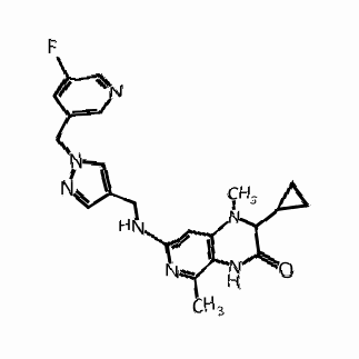 Cc1nc(NCc2cnn(Cc3cncc(F)c3)c2)cc2c1NC(=O)C(C1CC1)N2C